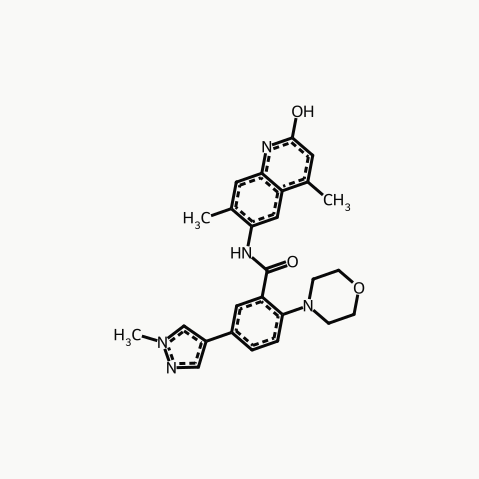 Cc1cc2nc(O)cc(C)c2cc1NC(=O)c1cc(-c2cnn(C)c2)ccc1N1CCOCC1